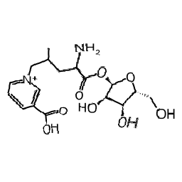 CC(CC(N)C(=O)O[C@H]1O[C@H](CO)[C@@H](O)[C@H]1O)C[n+]1cccc(C(=O)O)c1